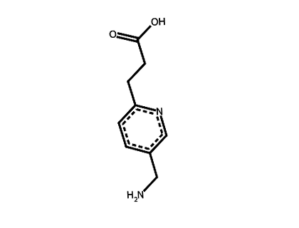 NCc1ccc(CCC(=O)O)nc1